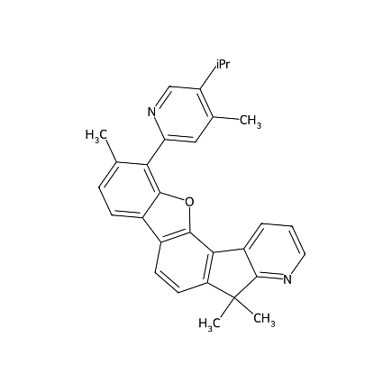 Cc1cc(-c2c(C)ccc3c2oc2c4c(ccc23)C(C)(C)c2ncccc2-4)ncc1C(C)C